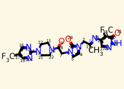 C/C(Cn1ccn(CC(=O)N2CCN(c3ncc(C(F)(F)F)cn3)CC2)c1=O)=N\c1cn[nH]c(=O)c1C(F)(F)F